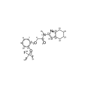 CN(C(=O)COc1ccccc1OC(F)(F)F)c1nc2c(s1)CCCC2